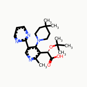 Cc1ncc(-c2ncccn2)c(N2CCC(C)(C)CC2)c1[C@H](OC(C)(C)C)C(=O)O